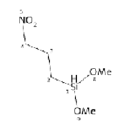 CO[SiH](CCC[N+](=O)[O-])OC